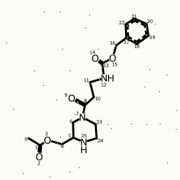 CC(=O)OCC1CN(C(=O)CCNC(=O)OCc2ccccc2)CCN1